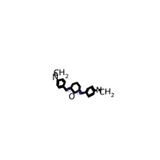 C=Nc1ccc(/C=C2\CCC/C(=C\c3ccc(N=C)cc3)C2=O)cc1